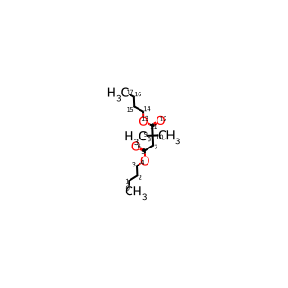 CCCCOC(=O)CC(C)(C)C(=O)OCCCC